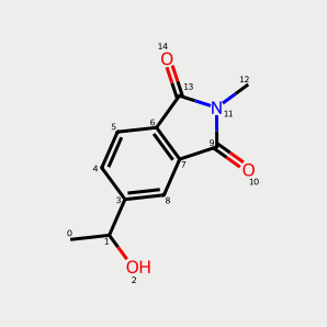 CC(O)c1ccc2c(c1)C(=O)N(C)C2=O